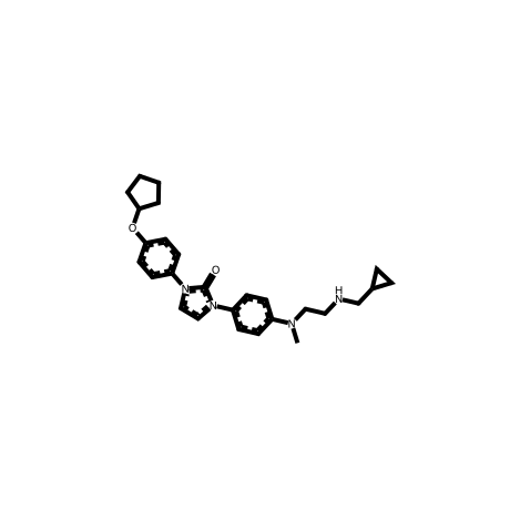 CN(CCNCC1CC1)c1ccc(-n2ccn(-c3ccc(OC4CCCC4)cc3)c2=O)cc1